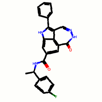 CC(NC(=O)c1cc2c3c(c(-c4ccccc4)[nH]c3c1)C=NNC2=O)c1ccc(F)cc1